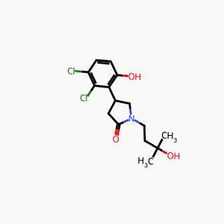 CC(C)(O)CCN1CC(c2c(O)ccc(Cl)c2Cl)CC1=O